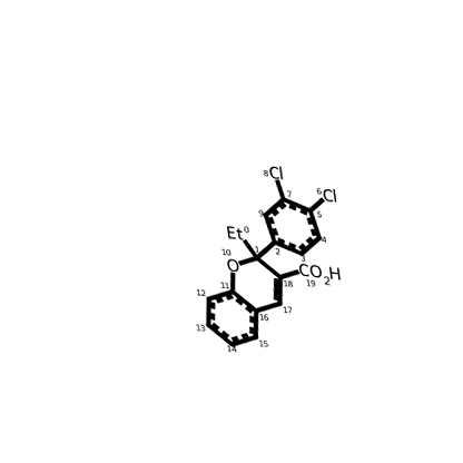 CCC1(c2ccc(Cl)c(Cl)c2)Oc2ccccc2C=C1C(=O)O